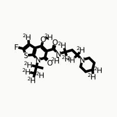 [2H]Oc1c(C(=O)N([2H])C([2H])([2H])CC([2H])([2H])N2CCC([2H])([2H])CC2)c(=O)n(C([2H])(C)C([2H])([2H])[2H])c2sc(F)c([2H])c12